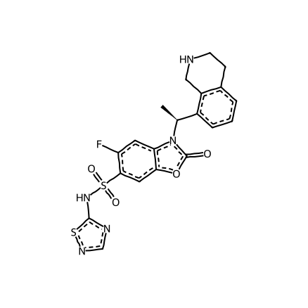 C[C@@H](c1cccc2c1CNCC2)n1c(=O)oc2cc(S(=O)(=O)Nc3ncns3)c(F)cc21